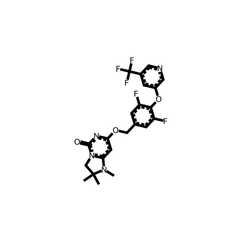 CN1c2cc(OCc3cc(F)c(Oc4cncc(C(F)(F)F)c4)c(F)c3)nc(=O)n2CC1(C)C